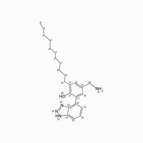 CCCCCCCCCCCc1cc(CN)cc(-c2cccc3[nH]nnc23)c1O